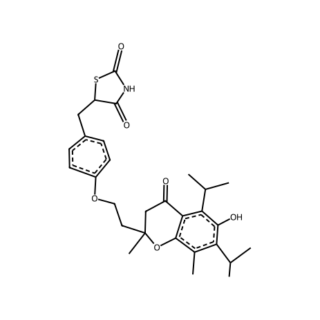 Cc1c2c(c(C(C)C)c(O)c1C(C)C)C(=O)CC(C)(CCOc1ccc(CC3SC(=O)NC3=O)cc1)O2